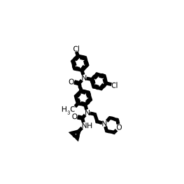 Cc1cc(C(=O)N(c2ccc(Cl)cc2)c2ccc(Cl)cc2)ccc1N(CCN1CCOCC1)C(=O)NC1CC1